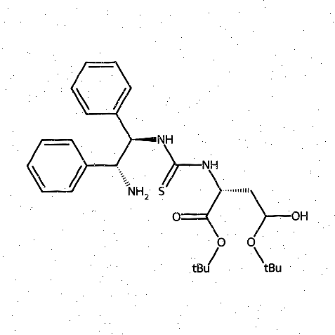 CC(C)(C)OC(=O)[C@@H](CC(O)OC(C)(C)C)NC(=S)N[C@H](c1ccccc1)[C@H](N)c1ccccc1